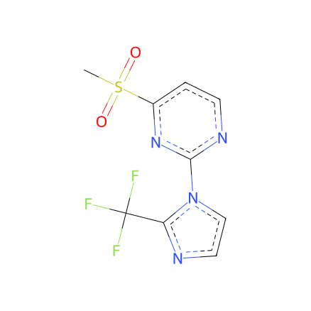 CS(=O)(=O)c1ccnc(-n2ccnc2C(F)(F)F)n1